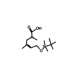 CC(=CCO[Si](C)(C)C(C)(C)C)CN(C)C(=O)O